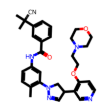 Cc1ccc(NC(=O)c2cccc(C(C)(C)C#N)c2)cc1N1CC(c2cnccc2OCCN2CCOCC2)C=N1